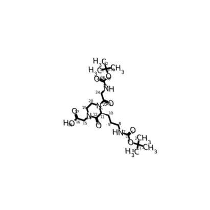 CC(C)(C)OC(=O)NCCC[C@H]1C(=O)N(CC(=O)O)CCN1C(=O)CNC(=O)OC(C)(C)C